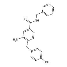 Nc1cc(C(=O)NCc2ccccc2)ccc1Sc1ccc(O)cc1